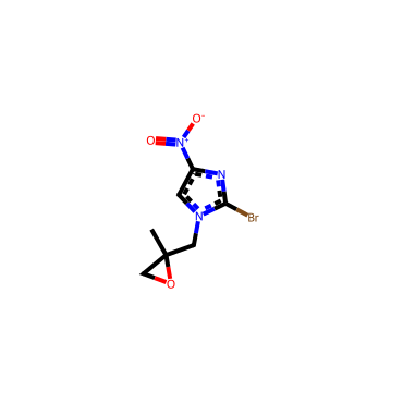 CC1(Cn2cc([N+](=O)[O-])nc2Br)CO1